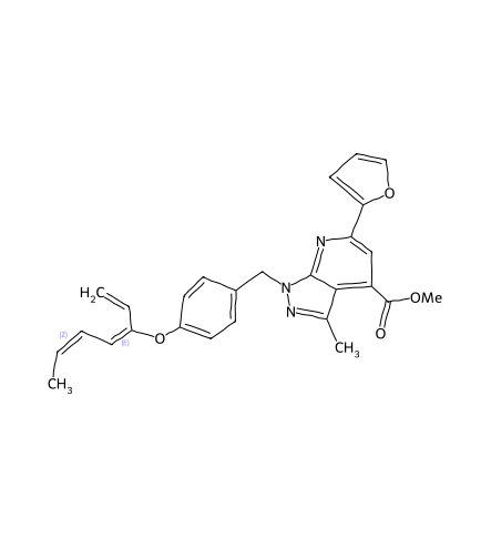 C=C/C(=C\C=C/C)Oc1ccc(Cn2nc(C)c3c(C(=O)OC)cc(-c4ccco4)nc32)cc1